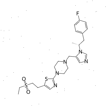 CCS(=O)(=O)CCc1cnc(N2CCN(Cc3cncn3[C@H](C)Cc3ccc(F)cc3)CC2)s1